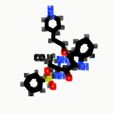 N[C@@](CC(=O)O)(NS(=O)(=O)c1ccccc1)C(=O)c1[nH]c2ccccc2c1OCCC1CCNCC1